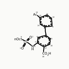 CCCCCCCCS(=O)(=O)Nc1cc(-c2cccc(C(C)=O)c2)ccc1C(=O)O